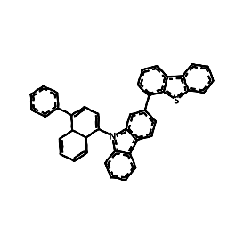 C1=CC2C(c3ccccc3)=CC=C(n3c4ccccc4c4ccc(-c5cccc6c5sc5ccccc56)cc43)C2C=C1